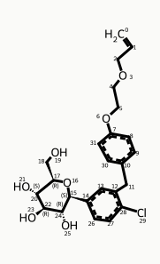 C=CCOCCOc1ccc(Cc2cc([C@@H]3O[C@H](CO)[C@@H](O)[C@H](O)[C@H]3O)ccc2Cl)cc1